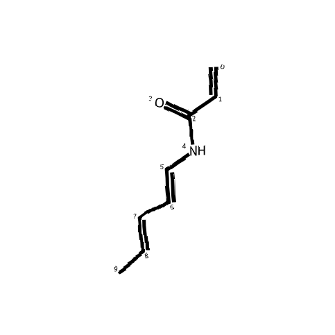 C=CC(=O)NC=CC=CC